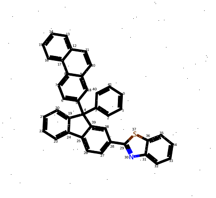 c1ccc(C2(c3ccc4c(ccc5ccccc54)c3)c3ccccc3-c3ccc(-c4nc5ccccc5s4)cc32)cc1